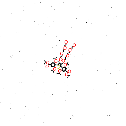 COCCOCCOCCOCc1c(-c2c(OC(C)C)cc(C(=O)OC(C)C)cc2OC(C)C)sc(-c2c(OC(C)C)cc(C(=O)OC(C)C)cc2OC(C)C)c1COCCOCCOCCOC